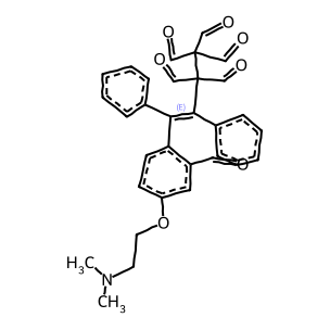 CN(C)CCOc1ccc(/C(=C(\c2ccccc2)C(C=O)(C=O)C(C=O)(C=O)C=O)c2ccccc2)c(C=O)c1